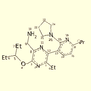 CCc1nc(OC(CC)CC)c(CN)nc1-c1ccc(C(C)C)nc1N1CCCC1